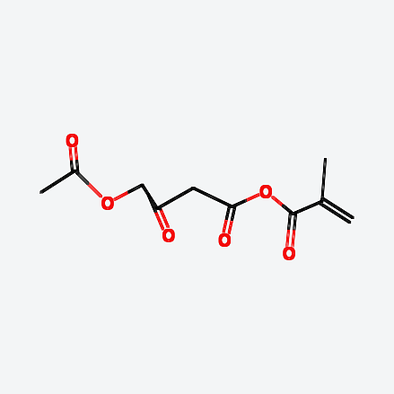 C=C(C)C(=O)OC(=O)CC(=O)COC(C)=O